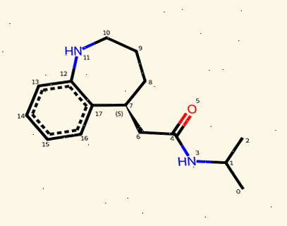 CC(C)NC(=O)C[C@@H]1CCCNc2ccccc21